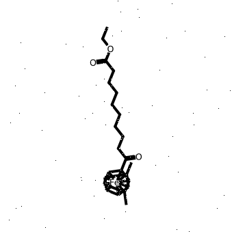 CCOC(=O)CCCCCCCCC(=O)[C]12[CH]3[CH]4[C]5(C)[CH]1[Fe]43521678[CH]2[CH]1[CH]6[C]7(C)[CH]28